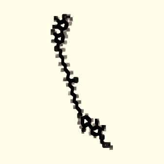 CCOc1ccc(-c2ccc(OCCCCCCCCC(=O)CCCCCCCCOc3ccc(-c4ccc(C)c(F)c4F)c(F)c3)cc2F)c(F)c1F